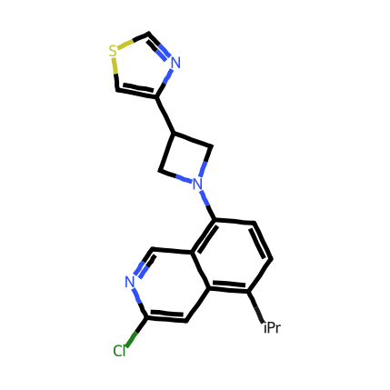 CC(C)c1ccc(N2CC(c3cscn3)C2)c2cnc(Cl)cc12